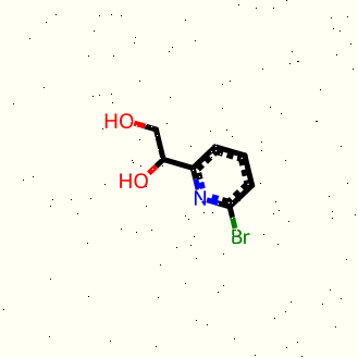 OCC(O)c1cccc(Br)n1